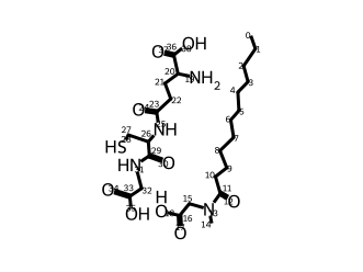 CCCCCCCCCCCC(=O)N(C)CC(=O)O.NC(CCC(=O)NC(CS)C(=O)NCC(=O)O)C(=O)O